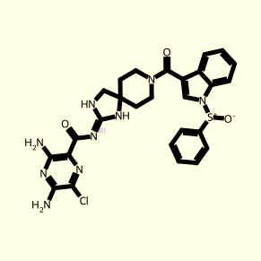 Nc1nc(N)c(C(=O)/N=C2\NCC3(CCN(C(=O)c4cn([S+]([O-])c5ccccc5)c5ccccc45)CC3)N2)nc1Cl